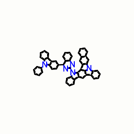 c1ccc(-n2c3ccccc3c3cc(-c4nc(-n5c6ccccc6c6cc7c8ccccc8n8c9cc%10ccccc%10cc9c(c65)c78)nc5ccccc45)ccc32)cc1